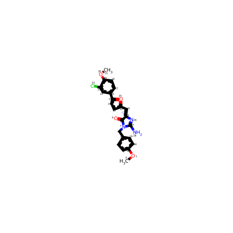 COc1ccc(CN2C(=O)/C(=C\c3ccc(-c4ccc(OC)c(Cl)c4)o3)N=C2N)cc1